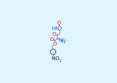 [N-]=[N+]=C(C(=O)CC1CC(=O)N1)C(=O)OCc1ccc([N+](=O)[O-])cc1